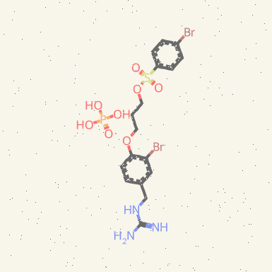 N=C(N)NCc1ccc(OCCCOS(=O)(=O)c2ccc(Br)cc2)c(Br)c1.O=P(O)(O)O